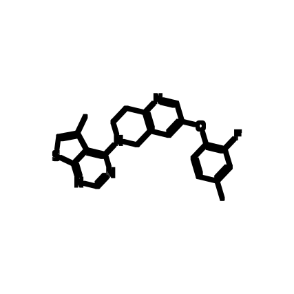 Cc1ccc(Oc2cnc3c(c2)CN(c2ncnc4scc(C)c24)CC3)c(F)c1